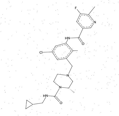 Cc1ncc(C(=O)Nc2cc(Cl)cc(CN3CCN(C(=O)NCC4CC4)[C@@H](C)C3)c2C)cc1F